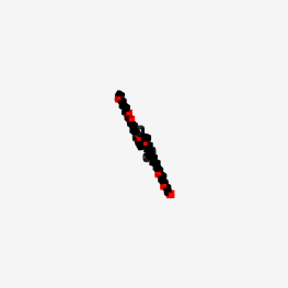 CCCCCCCCCCCCCC(=O)OCCN1C(C)(C)CC(OC(=O)CCCCCCCCCCCCC)CC1(C)C